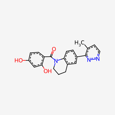 Cc1ccnnc1-c1ccc2c(c1)CCCN2C(=O)c1ccc(O)cc1O